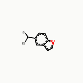 CCC(CC)c1ccc2occc2c1